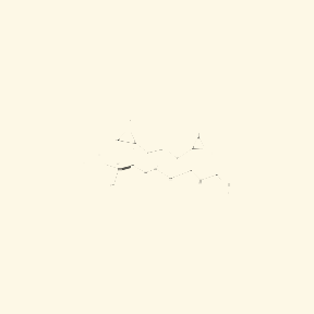 C(OCC1CO1)C1CO1.CC(=CCCCCCCO)C(=O)O